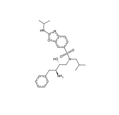 CC(C)CN(C[C@@H](O)[C@@H](N)Cc1ccccc1)S(=O)(=O)c1ccc2nc(NC(C)C)oc2c1